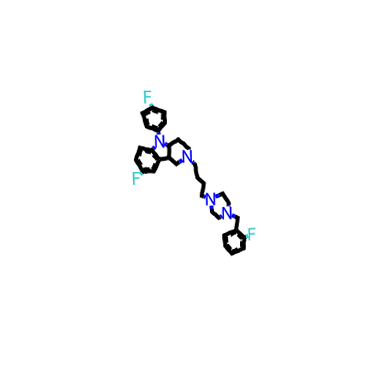 Fc1ccc(N2c3ccc(F)cc3C3CN(CCCCN4CCN(Cc5ccccc5F)CC4)CCC32)cc1